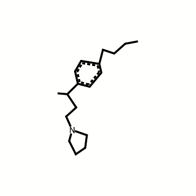 CCCCc1ccc(C(C)CCN2CCCC2)cc1